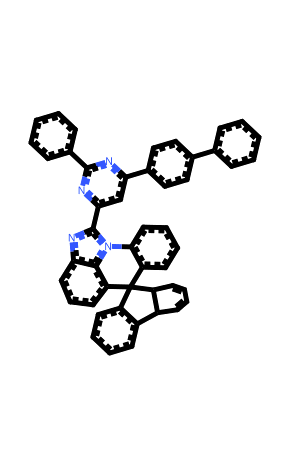 C1=CC2c3ccccc3C3(c4ccccc4-n4c(-c5cc(-c6ccc(-c7ccccc7)cc6)nc(-c6ccccc6)n5)nc5cccc3c54)C2C=C1